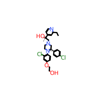 CCc1cc([C@](C)(O)CN2CCN(c3ccc(OCCO)cc3Cl)[C@H](c3ccc(Cl)cc3)C2)ccn1